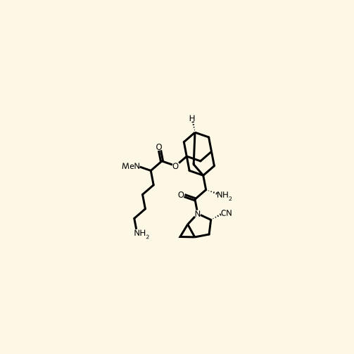 CNC(CCCCN)C(=O)OC12CC3C[C@H](C1)CC([C@H](N)C(=O)N1C4CC4C[C@H]1C#N)(C3)C2